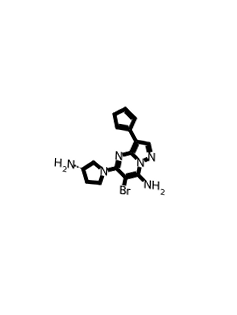 Nc1c(Br)c(N2CC[C@H](N)C2)nc2c(C3=CCC=C3)cnn12